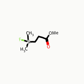 COC(=O)CC[Si](C)(C)F